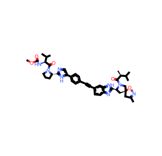 COC(=O)N[C@H](C(=O)N1CCC[C@H]1c1ncc(-c2ccc(C#Cc3ccc4nc([C@@H]5C[C@@]6(CC(C)=NO6)CN5C(=O)[C@@H](C)C(C)C)[nH]c4c3)cc2)[nH]1)C(C)C